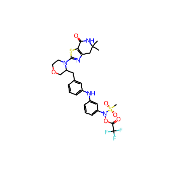 CC1(C)Cc2nc(N3CCOCC3Cc3cccc(Nc4cccc(N(OC(=O)C(F)(F)F)S(C)(=O)=O)c4)c3)sc2C(=O)N1